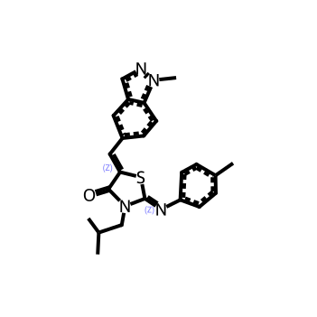 Cc1ccc(/N=C2\S/C(=C\c3ccc4c(cnn4C)c3)C(=O)N2CC(C)C)cc1